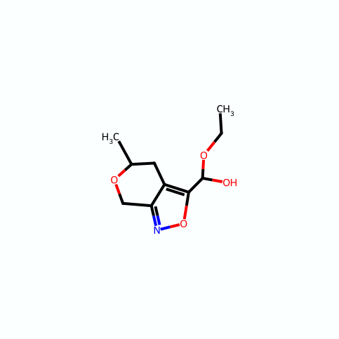 CCOC(O)c1onc2c1CC(C)OC2